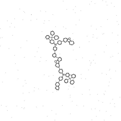 c1ccc(C2(c3ccccc3)c3ccccc3-c3ccc(N(c4ccc(-c5cccc(-c6cccc7c6oc6ccc(-c8ccc(N(c9ccc(-c%10ccc%11ccccc%11c%10)cc9)c9ccc%10c(c9)C(c9ccccc9)(c9ccccc9)c9ccccc9-%10)cc8)cc67)c5)cc4)c4ccc(-c5ccc6oc7ccccc7c6c5)cc4)cc32)cc1